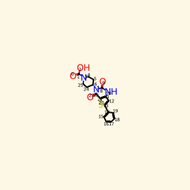 O=C(O)N1CCC(n2c(=O)[nH]c3cc(-c4ccccc4)sc3c2=O)CC1